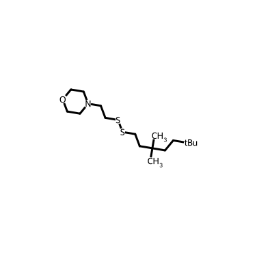 CC(C)(C)CCC(C)(C)CCSSCCN1CCOCC1